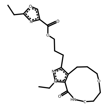 CCc1nc(C(=O)OCCCc2nn(CC)c3c2CCCOCCCNC3=O)co1